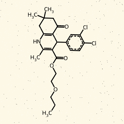 CCCOCCOC(=O)C1=C(C)NC2=C(C(=O)CC(C)(C)C2)C1c1ccc(Cl)c(Cl)c1